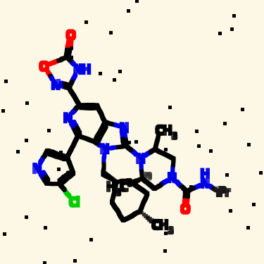 CC(C)NC(=O)N1CC(C)N(c2nc3cc(-c4noc(=O)[nH]4)nc(-c4cncc(Cl)c4)c3n2C[C@H]2CC[C@H](C)CC2)[C@H](C)C1